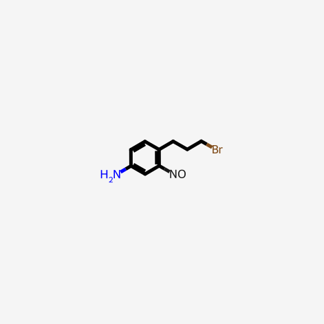 Nc1ccc(CCCBr)c(N=O)c1